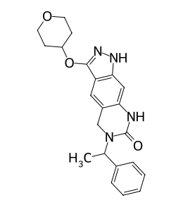 CC(c1ccccc1)N1Cc2cc3c(OC4CCOCC4)n[nH]c3cc2NC1=O